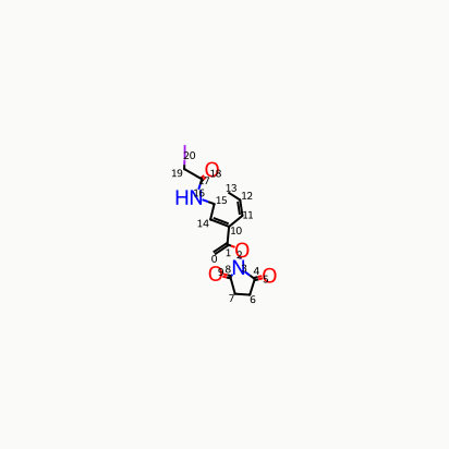 C=C(ON1C(=O)CCC1=O)C(/C=C\C)=C/CNC(=O)CI